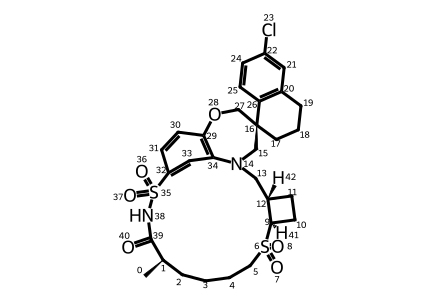 C[C@@H]1CCCCS(=O)(=O)[C@@H]2CC[C@H]2CN2C[C@@]3(CCCc4cc(Cl)ccc43)COc3ccc(cc32)S(=O)(=O)NC1=O